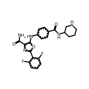 NC(=O)c1nc(-c2c(F)cccc2F)oc1Nc1ccc(C(=O)NC2CCCNC2)cc1